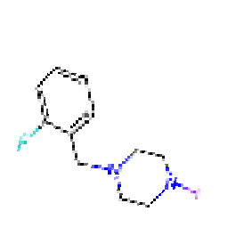 Fc1ccccc1CN1CCN(I)CC1